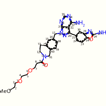 COCCOCCOCCC(=O)N1CCc2cc(Cn3nc(-c4ccc5oc(N)nc5c4)c4c(N)ncnc43)ccc2C1